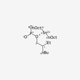 CCCCC(CC)COP([O-])[O-].CCCCCCC[CH2][Sn+2][CH2]CCCCCCC